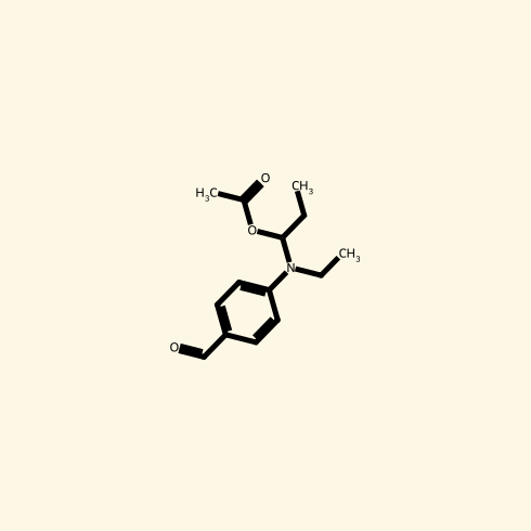 CCC(OC(C)=O)N(CC)c1ccc(C=O)cc1